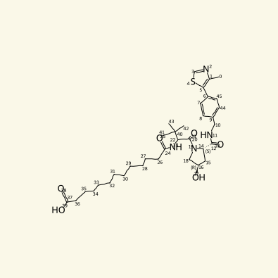 Cc1ncsc1-c1ccc(CNC(=O)[C@@H]2C[C@@H](O)CN2C(=O)C(NC(=O)CCCCCCCCCCCC(=O)O)C(C)(C)C)cc1